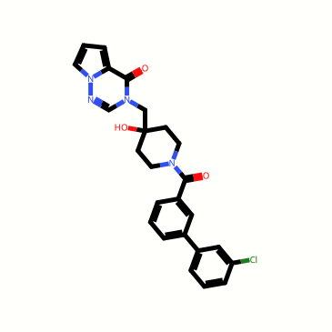 O=C(c1cccc(-c2cccc(Cl)c2)c1)N1CCC(O)(Cn2cnn3cccc3c2=O)CC1